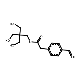 C=Cc1ccc(CC(=O)OCC(CC)(CO)CO)cc1